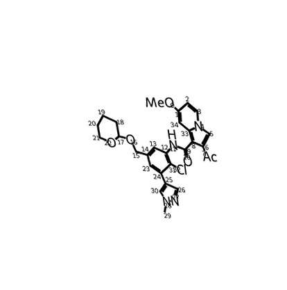 COc1ccn2cc(C(C)=O)c(C(=O)Nc3cc(COC4CCCCO4)cc(-c4cnn(C)c4)c3Cl)c2c1